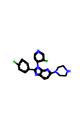 Fc1ccc(-c2nc3ccc(N4CCNCC4)nc3n2-c2ccncc2F)cc1